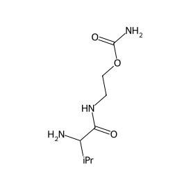 CC(C)C(N)C(=O)NCCOC(N)=O